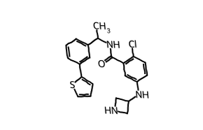 CC(NC(=O)c1cc(NC2CNC2)ccc1Cl)c1cccc(-c2cccs2)c1